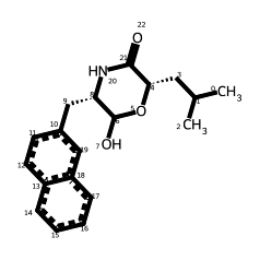 CC(C)C[C@@H]1OC(O)[C@H](Cc2ccc3ccccc3c2)NC1=O